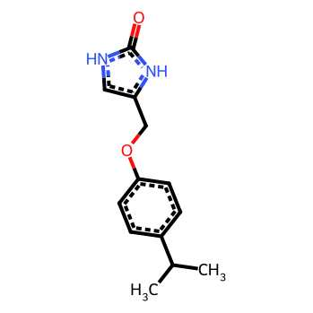 CC(C)c1ccc(OCc2c[nH]c(=O)[nH]2)cc1